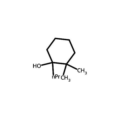 CCCC1(O)CCCCC1(C)C